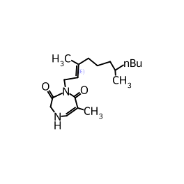 CCCCC(C)CCC/C(C)=C/CN1C(=O)CNC=C(C)C1=O